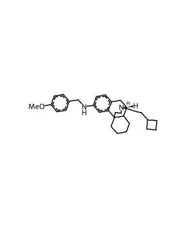 COc1ccc(CNc2ccc3c(c2)C24CCCCC2[C@@H](C3)N(CC2CCC2)CC4)cc1